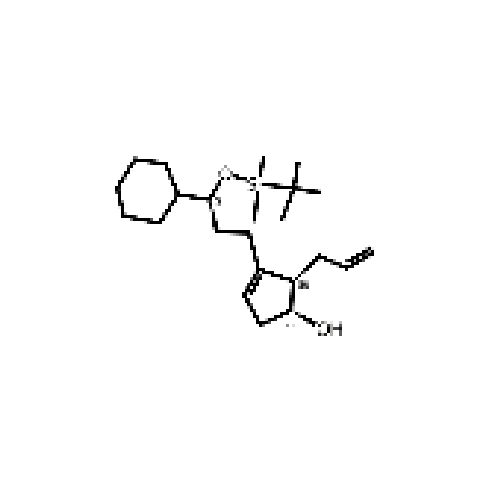 C=CC[C@@H]1C(CC[C@H](O[Si](C)(C)C(C)(C)C)C2CCCCC2)=CC[C@@H]1O